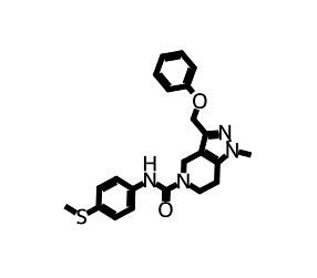 CSc1ccc(NC(=O)N2CCc3c(c(COc4ccccc4)nn3C)C2)cc1